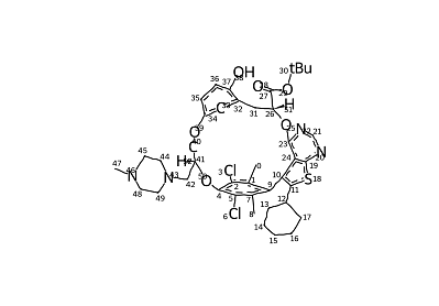 Cc1c(Cl)c2c(Cl)c(C)c1-c1c(C3CCCCC3)sc3ncnc(c13)O[C@@H](C(=O)OC(C)(C)C)Cc1cc(ccc1O)OC[C@@H](CN1CCN(C)CC1)O2